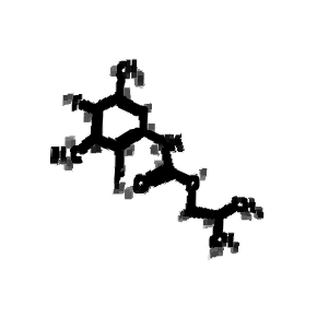 Cc1cc(NC(=O)OCC(C)C)c(F)c(C)c1F